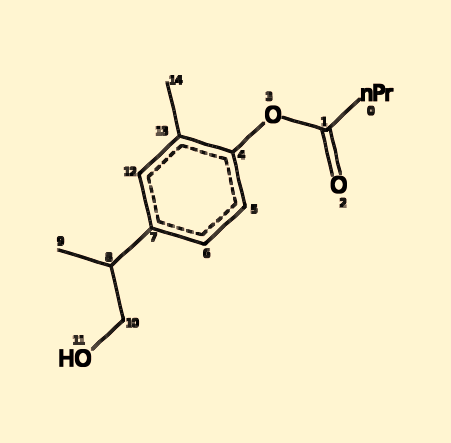 CCCC(=O)Oc1ccc(C(C)CO)cc1C